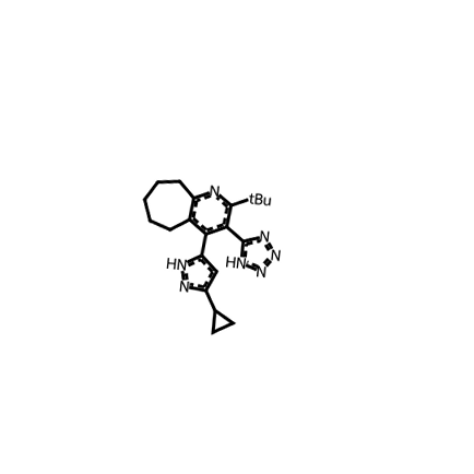 CC(C)(C)c1nc2c(c(-c3cc(C4CC4)n[nH]3)c1-c1nnn[nH]1)CCCCC2